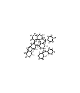 c1ccc(N(c2ccccc2)c2cc3c4c5c6c(cccc6ccc5n(-c5ccccc5)c4c2)-c2cc4oc5ccccc5c4cc2-3)cc1